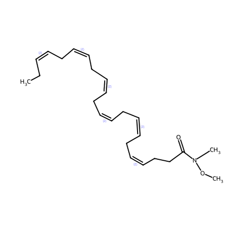 CC/C=C\C/C=C\C/C=C\C/C=C\C/C=C\C/C=C\CCC(=O)N(C)OC